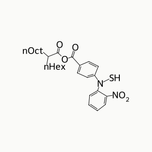 CCCCCCCCC(CCCCCC)C(=O)OC(=O)c1ccc(N(S)c2ccccc2[N+](=O)[O-])cc1